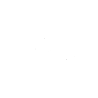 CC(C)N(Cc1ccccc1)CC(O)C[O]